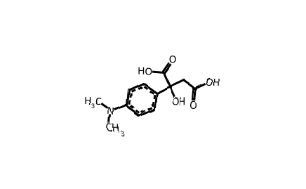 CN(C)c1ccc(C(O)(CC(=O)O)C(=O)O)cc1